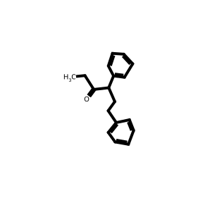 CCC(=O)C(CCc1ccccc1)c1ccccc1